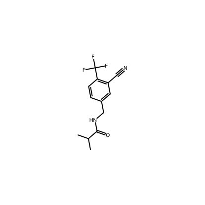 CC(C)C(=O)NCc1ccc(C(F)(F)F)c(C#N)c1